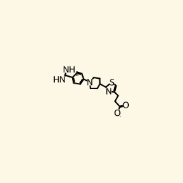 COC(=O)CCc1csc(C2CCN(c3ccc(C(=N)N)cc3)CC2)n1